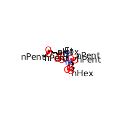 CCCCCCC(CCCCC(=O)OCC(CCCCC)CCCCC)OC(=O)OCCN(CCCN(CC)CC)CCOC(=O)OC(CCCCCC)CCCCC(=O)OCC(CCCCC)CCCCC